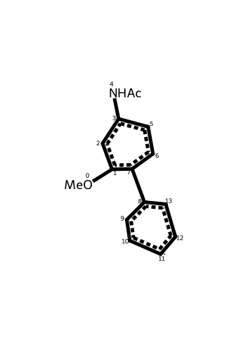 COc1cc(NC(C)=O)ccc1-c1cc[c]cc1